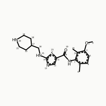 COc1ccc(C)c(NC(=O)c2cnc(NCC3CCNCC3)s2)c1C